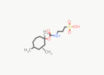 CC1CCCC(C)(OC(=O)NCCCS(=O)(=O)O)C[C@@H](C)C1